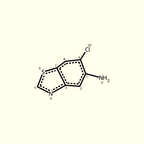 Nc1cc2ncsc2cc1Cl